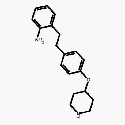 Nc1ccccc1CCc1ccc(OC2CCNCC2)cc1